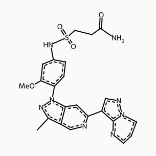 COc1cc(NS(=O)(=O)CCC(N)=O)ccc1-n1nc(C)c2cnc(-c3cnn4cccnc34)cc21